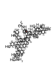 C=CC(=O)NCc1cn(C[C@H](NC(=O)[C@H](C)NC(=O)[C@@H](NC(=O)[C@H](Cc2ccc(O)cc2)NC(=O)[C@H](CO)NC(=O)[C@H](CCC)NC(C)=O)C(C)(C)C)C(=O)N(C)[C@@H](C)C(=O)N[C@H](C(=O)N[C@@H](Cc2c[nH]c3ncccc23)C(=O)N[C@@H](Cc2ccc(O)cc2)C(=O)N(C)[C@@H](Cc2ccc(F)cc2)C(=O)N(C)CC(=O)N[C@@H](CO)C(N)=O)c2ccccc2)nn1